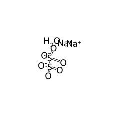 O.O=S(=O)([O-])S(=O)(=O)[O-].[Na+].[Na+]